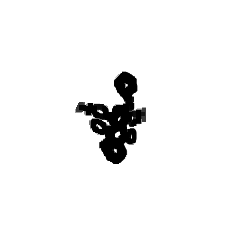 O=C1c2ccccc2C(=O)c2c(O)c(Sc3ccccc3)cc(O)c21